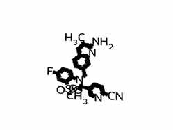 Cc1cc2ccc(CN(C(=O)c3ccc(C#N)nc3)c3ccc(F)cc3S(C)(=O)=O)cc2nc1N